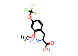 COc1cc(OC(F)(F)F)ccc1C[C@H](N)C(=O)O